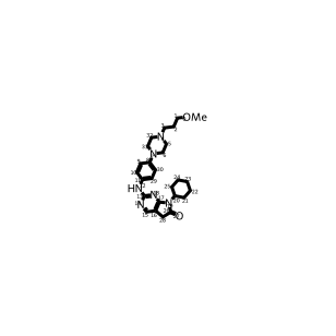 COCCCN1CCN(c2ccc(Nc3ncc4c(n3)N(C3CCCCC3)C(=O)C4)cc2)CC1